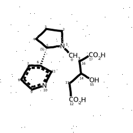 CN1CCC[C@H]1c1cccnc1.O=C(O)CC(O)CC(=O)O